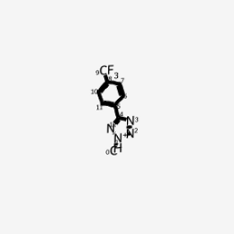 [CH2-][NH+]1N=NC(c2ccc(C(F)(F)F)cc2)=N1